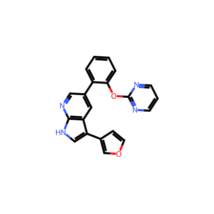 c1cnc(Oc2ccccc2-c2cnc3[nH]cc(-c4ccoc4)c3c2)nc1